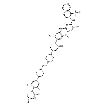 CCc1cc(Nc2ncc(Br)c(Nc3ccc4nccnc4c3P(C)(C)=O)n2)c(OC)cc1N1CCC(N2CCN(CCC3CCN(c4cc(F)c(C5CCC(=O)NC5=O)c(F)c4)CC3)CC2)CC1=O